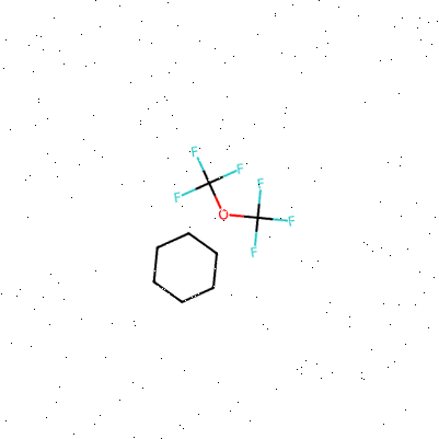 C1CCCCC1.FC(F)(F)OC(F)(F)F